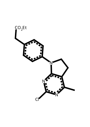 CCOC(=O)Cc1ccc(N2CCc3c(C)nc(Cl)nc32)cc1